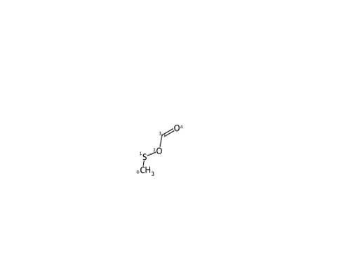 CSO[C]=O